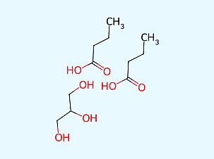 CCCC(=O)O.CCCC(=O)O.OCC(O)CO